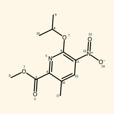 COC(=O)c1nc(OC(C)C)c([N+](=O)[O-])cc1C